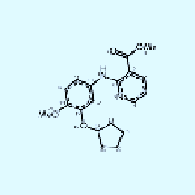 COC(=O)c1cccnc1Nc1ccc(OC)c(OC2CCCC2)c1